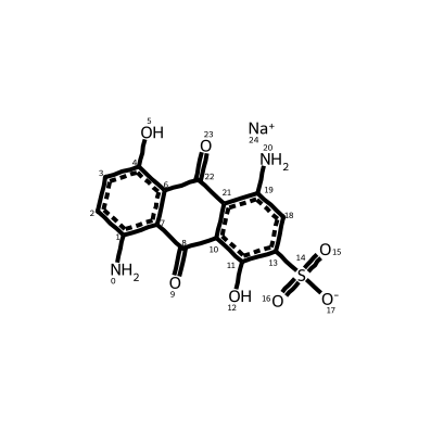 Nc1ccc(O)c2c1C(=O)c1c(O)c(S(=O)(=O)[O-])cc(N)c1C2=O.[Na+]